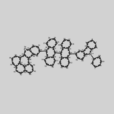 c1ccc(-n2c3ccccc3c3cc(-c4c5ccccc5c(-c5c6ccccc6c(-c6ccc7oc8c9cccc%10ccc%11cccc(c8c7c6)c%11c%109)c6ccccc56)c5ccccc45)ccc32)cc1